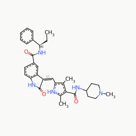 CC[C@@H](NC(=O)c1ccc2c(c1)/C(=C/c1[nH]c(C)c(C(=O)NC3CCN(C)CC3)c1C)C(=O)N2)c1ccccc1